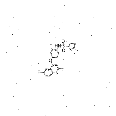 Cc1cc(Oc2ccc(NS(=O)(=O)c3ccc(C)s3)c(F)c2)c2cc(F)ccc2n1